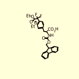 CCOP(=O)(OCC)C(F)(F)c1ccc(C[C@H](NC(=O)OCC2c3ccccc3-c3ccccc32)C(=O)O)cc1